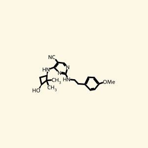 COc1ccc(CCNc2ncc(C#N)c(N[C@@H]3C[C@H](O)C3(C)C)n2)cc1